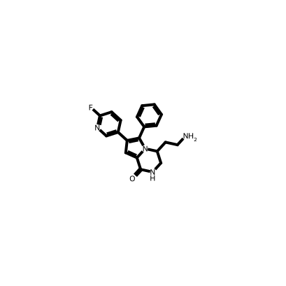 NCCC1CNC(=O)c2cc(-c3ccc(F)nc3)c(-c3ccccc3)n21